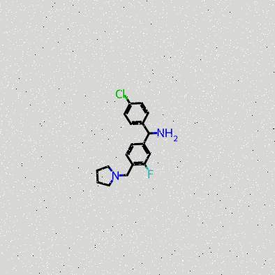 NC(c1ccc(Cl)cc1)c1ccc(CN2CCCC2)c(F)c1